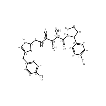 O=C(NCC1CC(Cc2ccc(Cl)nc2)=CS1)[C@H](O)[C@@H](O)C(=O)N1CCCC1c1ccc(F)cc1